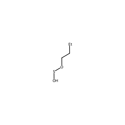 CCCCOSO